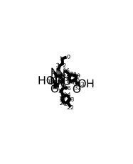 CCCCc1ncc(C(=O)N(C(=O)NO)C(C)Cc2ccc(C)cc2)n1Cc1ccc(C(=O)O)cc1